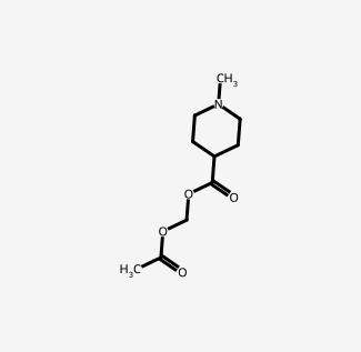 CC(=O)OCOC(=O)C1CCN(C)CC1